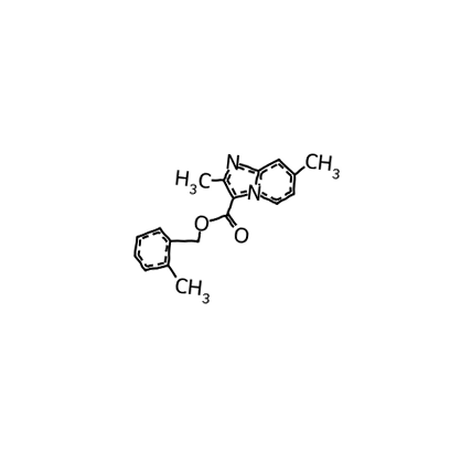 Cc1ccn2c(C(=O)OCc3ccccc3C)c(C)nc2c1